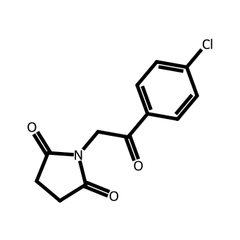 O=C(CN1C(=O)CCC1=O)c1ccc(Cl)cc1